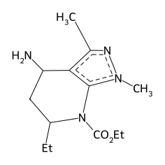 CCOC(=O)N1c2c(c(C)nn2C)C(N)CC1CC